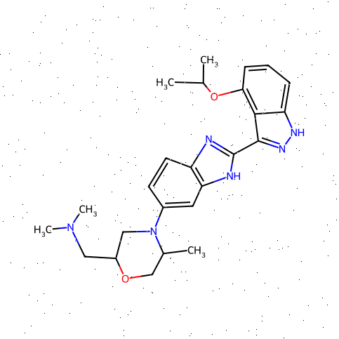 CC(C)Oc1cccc2[nH]nc(-c3nc4ccc(N5CC(CN(C)C)OCC5C)cc4[nH]3)c12